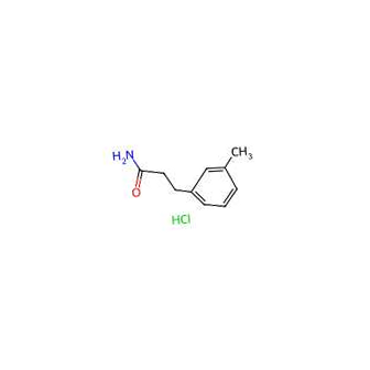 Cc1cccc(CCC(N)=O)c1.Cl